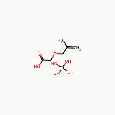 C=C(C)COCC(=O)O.[OH][Ti]([OH])([OH])[OH]